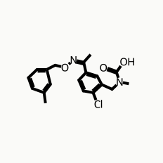 CC(=NOCc1cccc(C)c1)c1ccc(Cl)c(CN(C)C(=O)O)c1